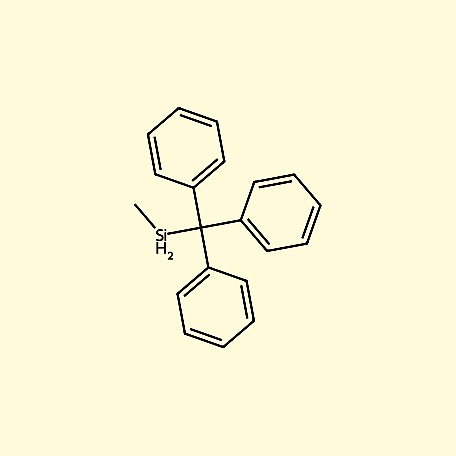 C[SiH2]C(c1ccccc1)(c1ccccc1)c1ccccc1